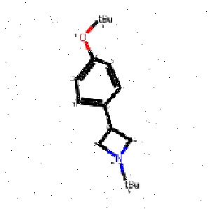 CC(C)(C)Oc1ccc(C2CN(C(C)(C)C)C2)cc1